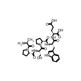 C[C@H](N)C(=O)N1CCC[C@H]1C(=O)N[C@@H](CO)C(=O)N1CCC[C@H]1C(=O)N[C@@H](Cc1c[nH]c2ccccc12)C(=O)N[C@@H](CCC(=O)O)C(=O)O